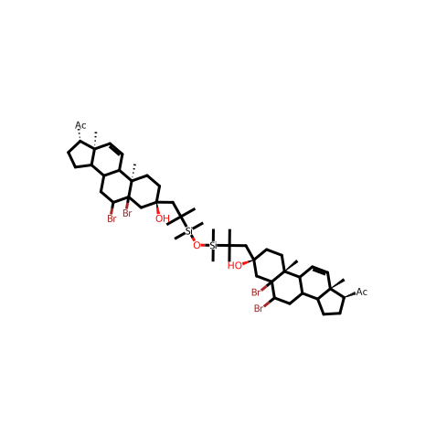 CC(=O)[C@H]1CCC2C3CC(Br)C4(Br)C[C@@](O)(CC(C)(C)[Si](C)(C)O[Si](C)(C)C(C)(C)C[C@]5(O)CC[C@]6(C)C7C=C[C@@]8(C)C(CC[C@@H]8C(C)=O)C7CC(Br)C6(Br)C5)CC[C@]4(C)C3C=C[C@@]21C